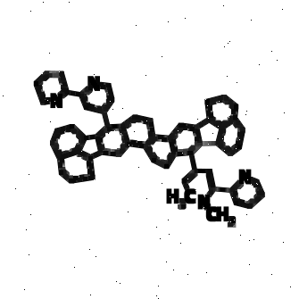 C=N/C(=C\C(=C/C)c1c2c(cc3c1ccc1c4cc5c(c(-c6ccnc(-c7ccccn7)c6)c4ccc31)-c1cccc3cccc-5c13)-c1cccc3cccc-2c13)c1ccccn1